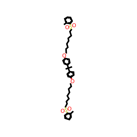 Cc1ccccc1S(=O)(=O)CCCCCCCCCOc1ccc(C(C)(C)c2ccc(OCCCCCCCCCS(=O)(=O)c3ccccc3C)cc2)cc1